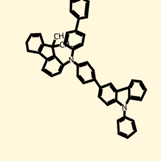 CC1(C)C2=C(CCC=C2)c2cccc(N(c3ccc(-c4ccccc4)cc3)c3ccc(-c4ccc5c(c4)c4ccccc4n5-c4ccccc4)cc3)c21